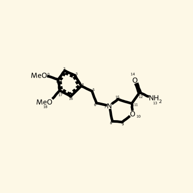 COc1ccc(CCN2CCOC(C(N)=O)C2)cc1OC